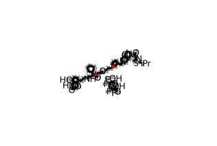 CC(C)c1nc(C(=O)N2CCOC3(CCN(Cc4cccc(CCCOCCC(=O)N(CCNCCc5ccc(O)c6c5OCC(=O)N6)C5CCCCC5)c4)CC3)C2)cs1.O=C(O)C(F)(F)F.O=C(O)C(F)(F)F